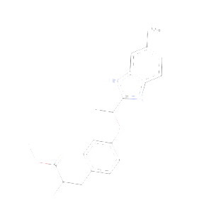 CCOC(=S)C(C)Cc1ccc(OC(C)c2nc3ccc(OC)cc3[nH]2)cc1